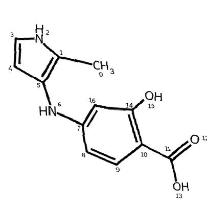 Cc1[nH]ccc1Nc1ccc(C(=O)O)c(O)c1